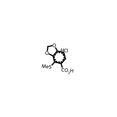 CSc1c(C(=O)O)ccc2c1OCO2.Cl